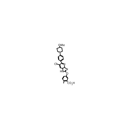 COC1CCN(c2ccc(C3=NC4N=C(Oc5ccc(C)c(C(=O)O)c5)NC4C=C3Cl)cc2)CC1